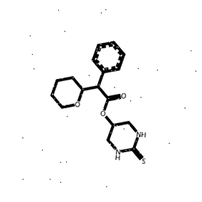 O=C(OC1CNC(=S)NC1)C(c1ccccc1)C1CCCCO1